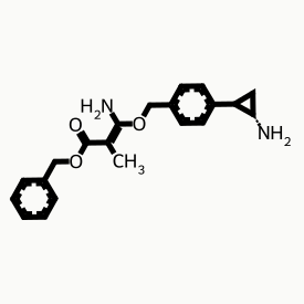 C/C(C(=O)OCc1ccccc1)=C(/N)OCc1ccc(C2C[C@@H]2N)cc1